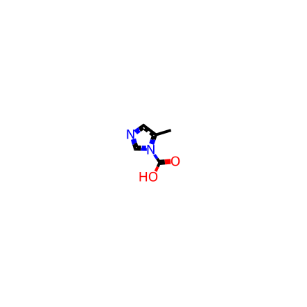 Cc1cncn1C(=O)O